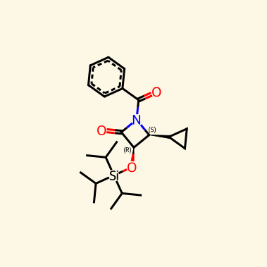 CC(C)[Si](O[C@H]1C(=O)N(C(=O)c2ccccc2)[C@H]1C1CC1)(C(C)C)C(C)C